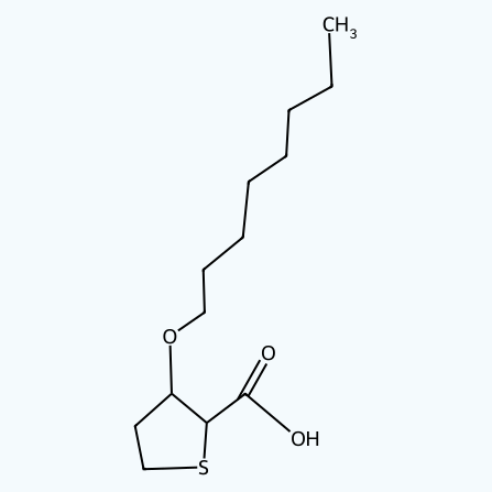 CCCCCCCCOC1CCSC1C(=O)O